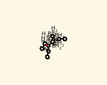 Bc1c(B)c(B)c2c(c1B)c1c(B)c(-c3ccc4c(c3)c3ccc(-c5ccccc5)cc3n4-c3ccccc3-c3ccccc3)c(B)c(B)c1n2-c1ccc(-c2ccccc2)cc1